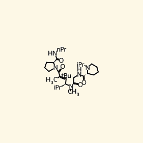 CCCNC(=O)[C@@H]1CCCN1C(=O)/C(C)=C/[C@H](C(C)C)N(C)C(=O)[C@@H](NC(=O)[C@H]1CCCCN1C(C)C)C(C)(C)C